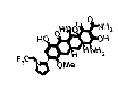 COc1c([C@@H]2CCCN2CC(F)(F)F)cc(O)c2c1C[C@H]1C[C@H]3[C@H](N)C(O)=C(C(N)=O)C(=O)[C@@]3(O)C(O)=C1C2=O